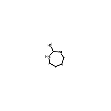 SC1NCCCCN1